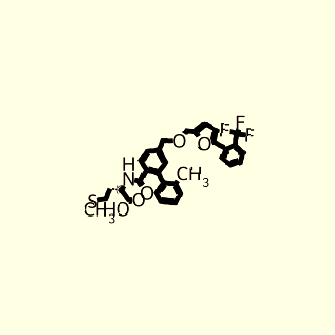 CSCC[C@H](NC(=O)c1ccc(COCc2ccc(-c3ccccc3C(F)(F)F)o2)cc1-c1ccccc1C)C(=O)O